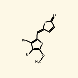 COc1sc(/C=C2\C=CC(=O)S2)c(Br)c1Br